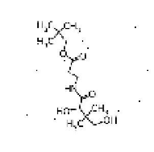 CC(C)(C)COC(=O)CCNC(=O)[C@H](O)C(C)(C)CO